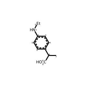 CCNc1ccc(C(C)C(=O)O)cc1